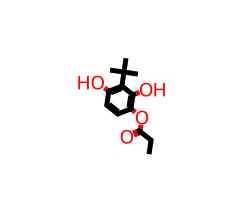 CCC(=O)Oc1ccc(O)c(C(C)(C)C)c1O